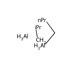 CCC[CH2][AlH2].[AlH3].[CH2]C(C)C